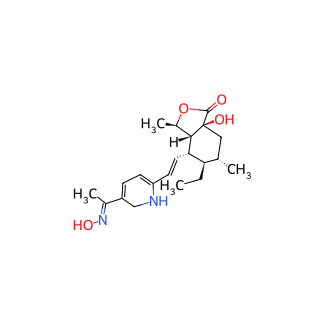 CC[C@H]1[C@H](/C=C/C2=CC=C(/C(C)=N/O)CN2)[C@@H]2[C@@H](C)OC(=O)[C@]2(O)C[C@@H]1C